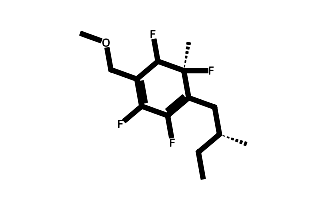 CC[C@@H](C)CC1=C(F)C(F)=C(COC)C(F)[C@@]1(C)F